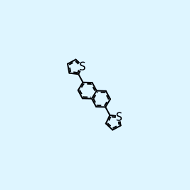 c1csc(-c2ccc3cc(-c4cccs4)ccc3c2)c1